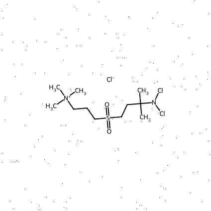 CC(C)(CCS(=O)(=O)CCC[N+](C)(C)C)N(Cl)Cl.[Cl-]